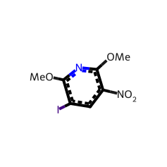 COc1nc(OC)c([N+](=O)[O-])cc1I